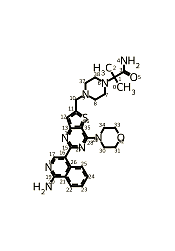 CC(C)(C(N)=O)N1CCN(Cc2cc3nc(-c4cnc(N)c5ccccc45)nc(N4CCOCC4)c3s2)CC1